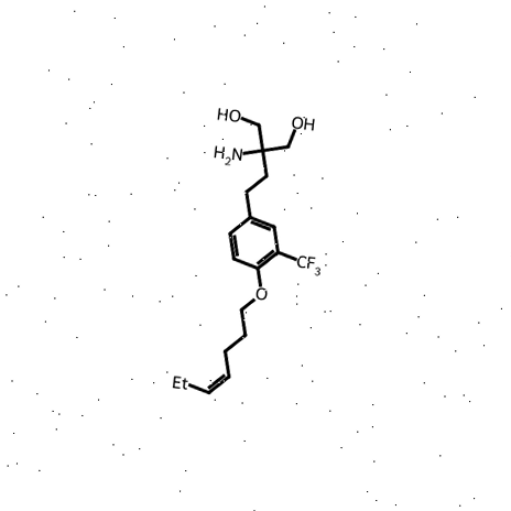 CC/C=C\CCCOc1ccc(CCC(N)(CO)CO)cc1C(F)(F)F